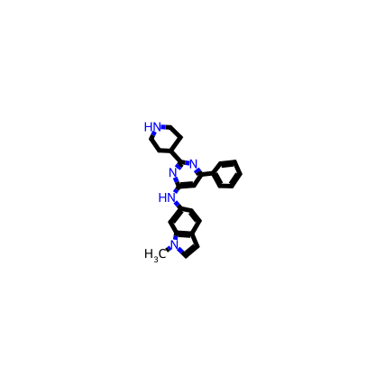 Cn1ccc2ccc(Nc3cc(-c4ccccc4)nc(C4CCNCC4)n3)cc21